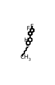 CCCCCCC[C@@H]1CC[C@@H]2CC(c3ccc4c(F)c(F)ccc4c3)CCC2C1